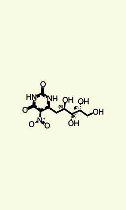 O=c1[nH]c(C[C@@H](O)[C@@H](O)[C@H](O)CO)c([N+](=O)[O-])c(=O)[nH]1